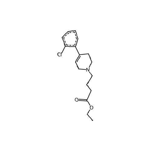 CCOC(=O)CCCN1CC=C(c2ccccc2Cl)CC1